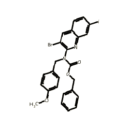 COc1ccc(CN(C(=O)OCc2ccccc2)c2nc3cc(I)ccc3cc2Br)cc1